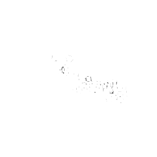 CNC(=O)[C@H](CO[Si](c1ccccc1)(c1ccccc1)C(C)(C)C)Oc1ncc(Cl)c2c1c(=O)cc(C)n2-c1c(Cl)cc(OCCOP(=O)(OCc2ccccc2)OCc2ccccc2)cc1Cl